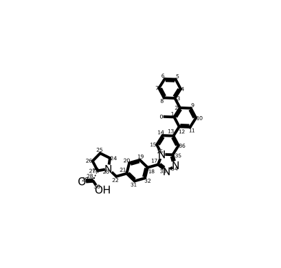 Cc1c(-c2ccccc2)cccc1-c1ccn2c(-c3ccc(CN4CCC[C@H]4C(=O)O)cc3)nnc2c1